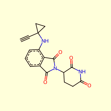 C#CC1(Nc2cccc3c2C(=O)N(C2CCC(=O)NC2=O)C3=O)CC1